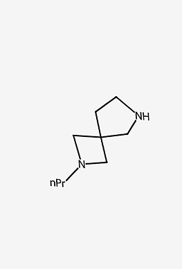 CCCN1CC2(CCNC2)C1